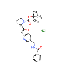 CC(C)(C)OC(=O)N1CCC[C@@H]1c1cc2ncc(CNC(=O)c3ccccc3)cc2o1.Cl